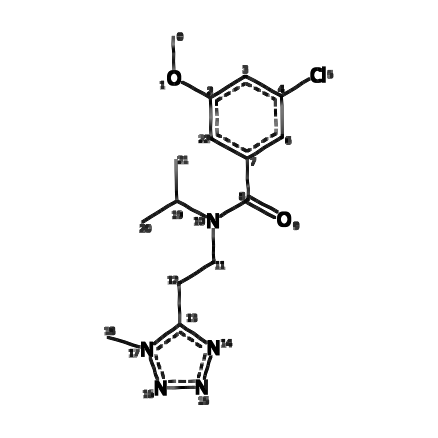 COc1cc(Cl)cc(C(=O)N(CCc2nnnn2C)C(C)C)c1